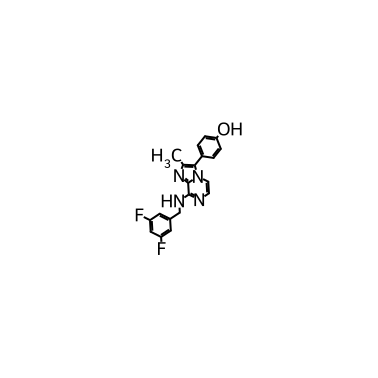 Cc1nc2c(NCc3cc(F)cc(F)c3)nccn2c1-c1ccc(O)cc1